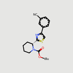 CC(C)(C)OC(=O)N1CCCC[C@@H]1c1nc(-c2cccc(C#N)c2)cs1